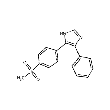 CS(=O)(=O)c1ccc(-c2[nH]cnc2-c2ccccc2)cc1